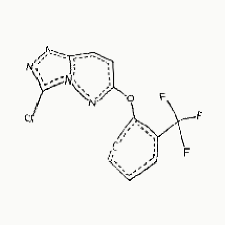 FC(F)(F)c1ccccc1Oc1ccc2nnc(Cl)n2n1